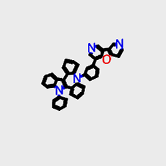 c1ccc(-n2c3c(c4ccccc42)-c2ccccc2N(c2cccc(-c4cncc5c4oc4ccncc45)c2)c2ccccc2-3)cc1